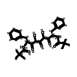 CC(C)(C)C(=O)N[C@@H](Cc1ccccc1)C(=O)C(Cl)C(=O)C(Cl)C(=O)[C@H](Cc1ccccc1)NC(=O)C(C)(C)C